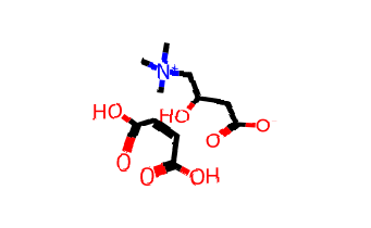 C[N+](C)(C)CC(O)CC(=O)[O-].O=C(O)/C=C\C(=O)O